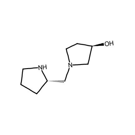 O[C@@H]1CCN(C[C@@H]2CCCN2)C1